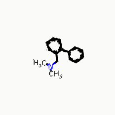 CN(C)Cc1[c]cccc1-c1ccccc1